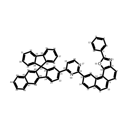 c1ccc(-c2nc3ccc4ccc5ccc(-c6nccc(-c7ccc8c(c7)C7(c9ccccc9-c9ccccc97)c7cc9ccccc9cc7-8)n6)cc5c4c3o2)cc1